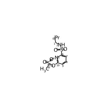 CC(C)CNS(=O)(=O)c1cccc(OS(C)(=O)=O)n1